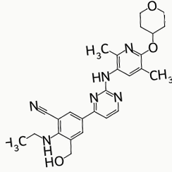 CCNc1c(C#N)cc(-c2ccnc(Nc3cc(C)c(OC4CCOCC4)nc3C)n2)cc1CO